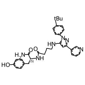 CC(C)(C)c1ccc(-n2nc(-c3cccnc3)cc2NCCCC(=O)N[C@@H](Cc2ccc(O)cc2)C(N)=O)cc1